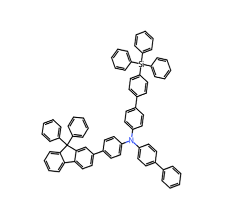 c1ccc(-c2ccc(N(c3ccc(-c4ccc([Si](c5ccccc5)(c5ccccc5)c5ccccc5)cc4)cc3)c3ccc(-c4ccc5c(c4)C(c4ccccc4)(c4ccccc4)c4ccccc4-5)cc3)cc2)cc1